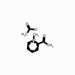 CC(=O)[O-].CC(=O)c1cccc[n+]1C